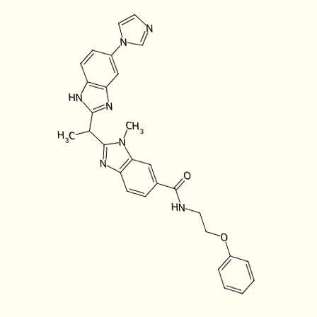 CC(c1nc2cc(-n3ccnc3)ccc2[nH]1)c1nc2ccc(C(=O)NCCOc3ccccc3)cc2n1C